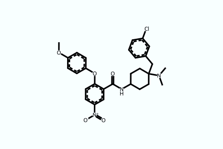 COc1ccc(Oc2ccc([N+](=O)[O-])cc2C(=O)NC2CCC(Cc3cccc(Cl)c3)(N(C)C)CC2)cc1